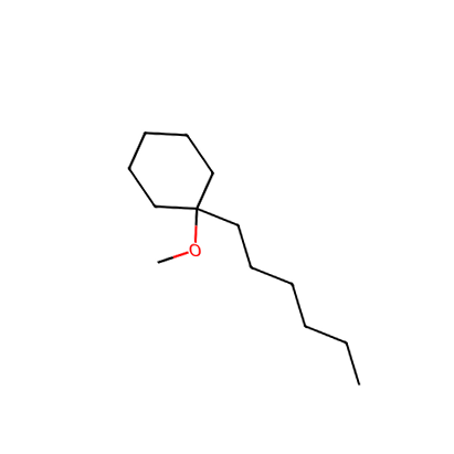 CCCCCCC1(OC)CCCCC1